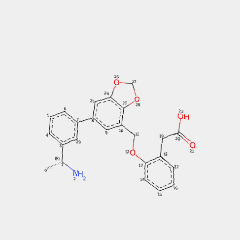 C[C@@H](N)c1cccc(-c2cc(COc3ccccc3CC(=O)O)c3c(c2)OCO3)c1